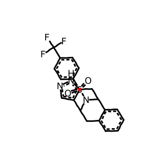 O=S(=O)(c1ccc(C(F)(F)F)cc1)N1C2Cc3[nH]ncc3C1Cc1ccccc12